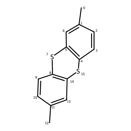 Cc1ccc2c(c1)Sc1ccc(C)cc1S2